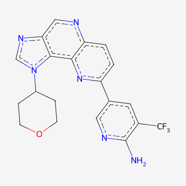 Nc1ncc(-c2ccc3ncc4ncn(C5CCOCC5)c4c3n2)cc1C(F)(F)F